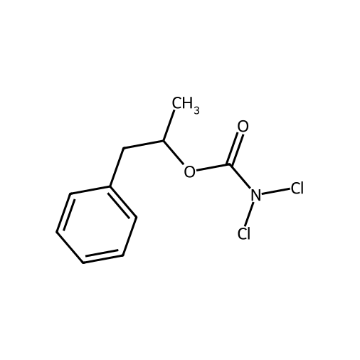 CC(Cc1ccccc1)OC(=O)N(Cl)Cl